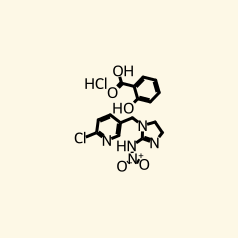 Cl.O=C(O)c1ccccc1O.O=[N+]([O-])NC1=NCCN1Cc1ccc(Cl)nc1